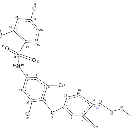 C=c1cc(Oc2c(Cl)cc(NS(=O)(=O)c3ccc(Cl)cc3Cl)cc2Cl)cn/c1=C/CCC